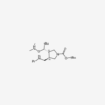 CC(C)NC[C@@H]1CN(C(=O)OC(C)(C)C)C[C@H]1C(O[SiH](C)C)C(C)(C)C